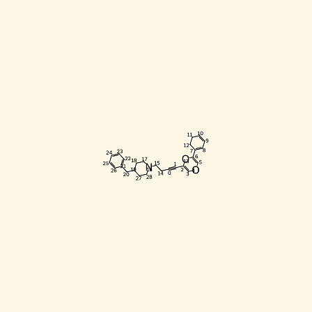 C(#CC1=COC=C(C2=CC=CCC2)O1)CCN1CCC(Cc2ccccc2)CC1